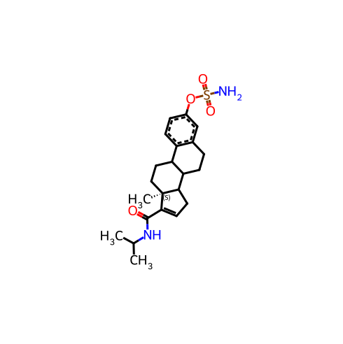 CC(C)NC(=O)C1=CCC2C3CCc4cc(OS(N)(=O)=O)ccc4C3CC[C@]12C